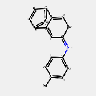 Cc1ccc(N=C2[C]=c3c(c4ccc3cc4)=[C]C2)cc1